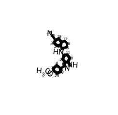 COc1ccc(-c2n[nH]c3ccc(N[C@H]4CCCc5cc(C#N)ccc54)cc23)cc1